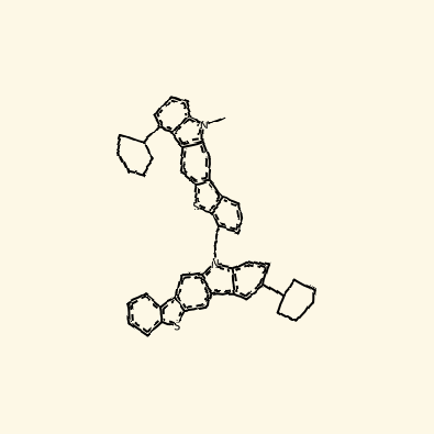 Cn1c2cc3c(cc2c2c(C4CCCCC4)cccc21)sc1c(Cn2c4ccc(C5CCCCC5)cc4c4cc5sc6ccccc6c5cc42)cccc13